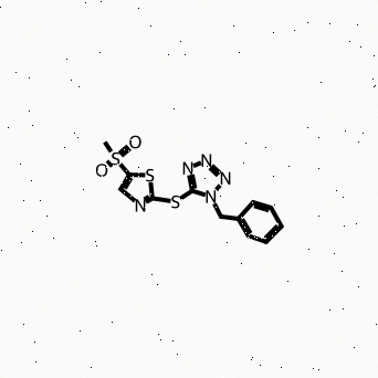 CS(=O)(=O)c1cnc(Sc2nnnn2Cc2ccccc2)s1